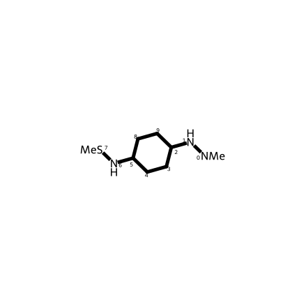 CNNC1CCC(NSC)CC1